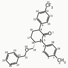 Cc1ccc(N2C(=O)C(c3ccc(C(F)(F)F)cc3)CC[C@H]2COCc2ccccc2)cc1